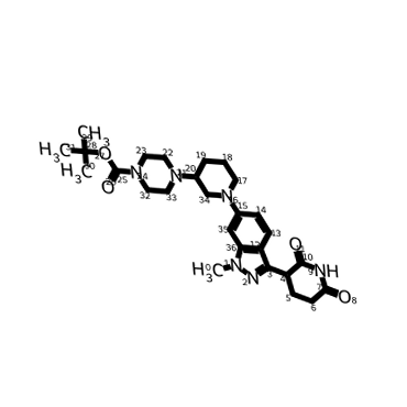 Cn1nc(C2CCC(=O)NC2=O)c2ccc(N3CCCC(N4CCN(C(=O)OC(C)(C)C)CC4)C3)cc21